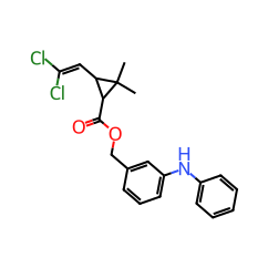 CC1(C)C(C=C(Cl)Cl)C1C(=O)OCc1cccc(Nc2ccccc2)c1